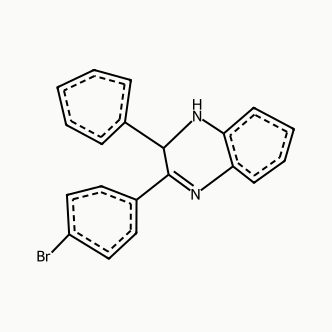 Brc1ccc(C2=Nc3ccccc3NC2c2ccccc2)cc1